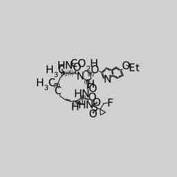 CCOc1ccc2ncc(O[C@@H]3C[C@H]4C(=O)N[C@]5(C(=O)NS(=O)(=O)C6(CF)CC6)C[C@H]5C=CCC[C@@H](C)C[C@@H](C)[C@H](NC(=O)O)C(=O)N4C3)cc2c1